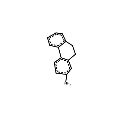 Nc1ccc2c(c1)CCc1ccccc1-2